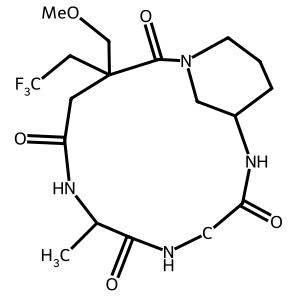 COCC1(CC(F)(F)F)CC(=O)NC(C)C(=O)NCC(=O)NC2CCCN(C2)C1=O